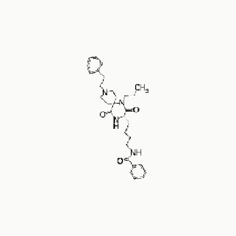 CCCN1C(=O)[C@H](CCCCNC(=O)c2ccccc2)NC(=O)C12CCN(CCc1ccccc1)CC2